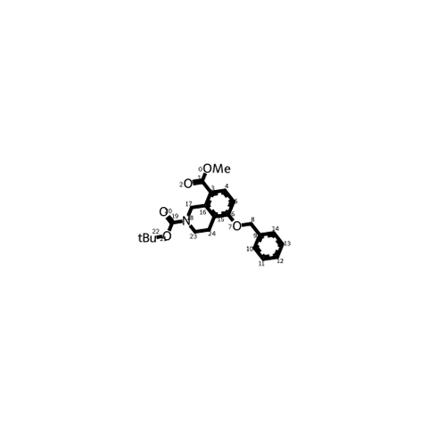 COC(=O)c1ccc(OCc2ccccc2)c2c1CN(C(=O)OC(C)(C)C)CC2